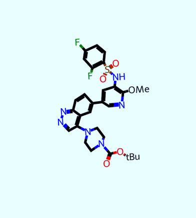 COc1ncc(-c2ccc3nncc(N4CCN(C(=O)OC(C)(C)C)CC4)c3c2)cc1NS(=O)(=O)c1ccc(F)cc1F